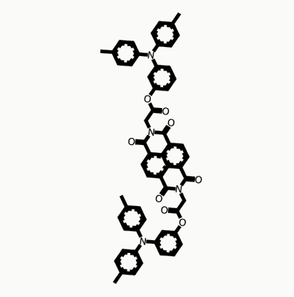 Cc1ccc(N(c2ccc(C)cc2)c2cccc(OC(=O)CN3C(=O)c4ccc5c6c(ccc(c46)C3=O)C(=O)N(CC(=O)Oc3cccc(N(c4ccc(C)cc4)c4ccc(C)cc4)c3)C5=O)c2)cc1